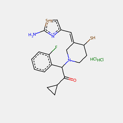 Cl.Cl.Nc1nc(/C=C2\CN(C(C(=O)C3CC3)c3ccccc3F)CCC2S)cs1